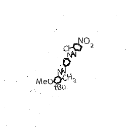 COc1cc(N=Nc2ccc(N=Nc3ccc([N+](=O)[O-])cc3Cl)cc2)c(C)cc1C(C)(C)C